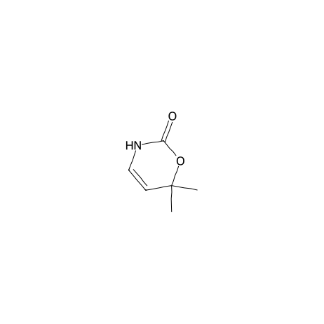 CC1(C)C=CNC(=O)O1